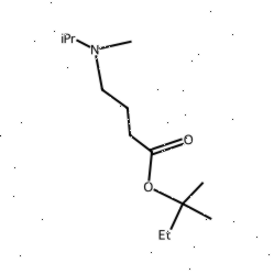 CCC(C)(C)OC(=O)CCCN(C)C(C)C